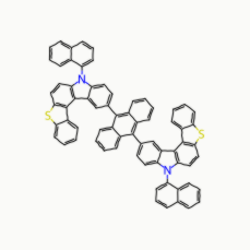 c1ccc2c(-n3c4ccc(-c5c6ccccc6c(-c6ccc7c(c6)c6c8c(ccc6n7-c6cccc7ccccc67)sc6ccccc68)c6ccccc56)cc4c4c5c(ccc43)sc3ccccc35)cccc2c1